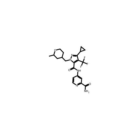 CC1CC(Cn2nc(C3CC3)c(C(F)(F)F)c2C(=O)Nc2ccnc(C(N)=O)c2)CCO1